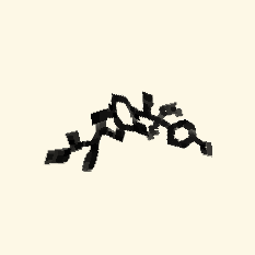 CC(C)(C(=O)N1CCn2nc(C(=O)NO)cc2C1)c1ccc(Cl)cc1